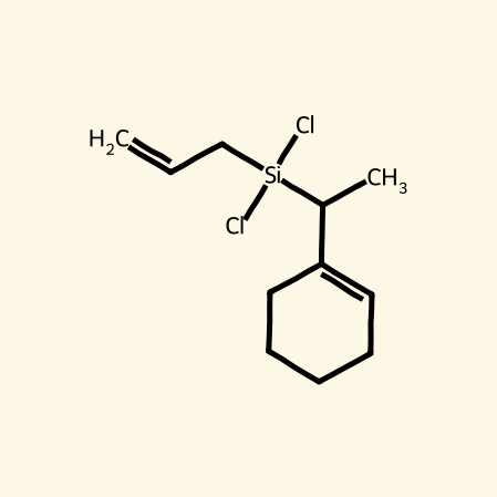 C=CC[Si](Cl)(Cl)C(C)C1=CCCCC1